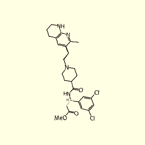 COC(=O)C[C@H](NC(=O)C1CCN(CCc2cc3c(nc2C)NCCC3)CC1)c1cc(Cl)cc(Cl)c1